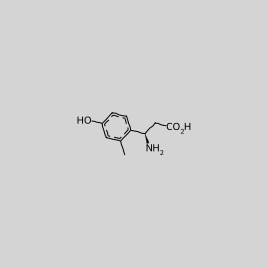 Cc1cc(O)ccc1[C@H](N)CC(=O)O